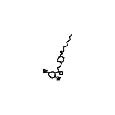 CCCCCCCSc1ccc(C=CC(=O)c2cc(Br)ccc2Br)cc1